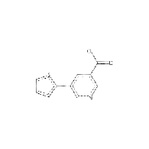 O=C(Cl)c1cncc(-c2cccs2)c1